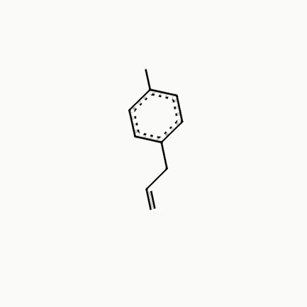 C=CCc1ccc([S])cc1